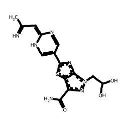 CC(=N)/C=C1/N=CC(c2nc3c(s2)c(C(N)=O)nn3CC(O)O)=CN1